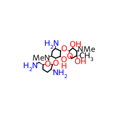 CN[C@H]1C[C@@H](N)[C@H](O[C@H]2OC[C@](C)(O)[C@H](NC)[C@H]2O)[C@@H](O)[C@@H]1O[C@H]1O[C@H](CN)CC[C@H]1N